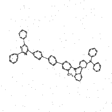 Cc1cc(-c2ccc(-c3ccc(-c4cc(-c5ccccc5)nc(-c5ccccc5)n4)cc3)cc2)ccc1-n1c2ccccc2c2cc(N(c3ccccc3)c3ccccc3)ccc21